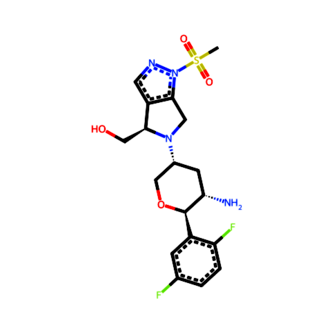 CS(=O)(=O)n1ncc2c1CN([C@H]1CO[C@H](c3cc(F)ccc3F)[C@@H](N)C1)[C@H]2CO